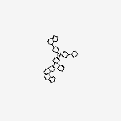 c1ccc(-c2ccc(N(c3ccc(-c4cccc5ccccc45)cc3)c3ccc(-c4ccc5c(ccc6ccc7ccccc7c65)c4)c(-c4ccccc4)c3)cc2)cc1